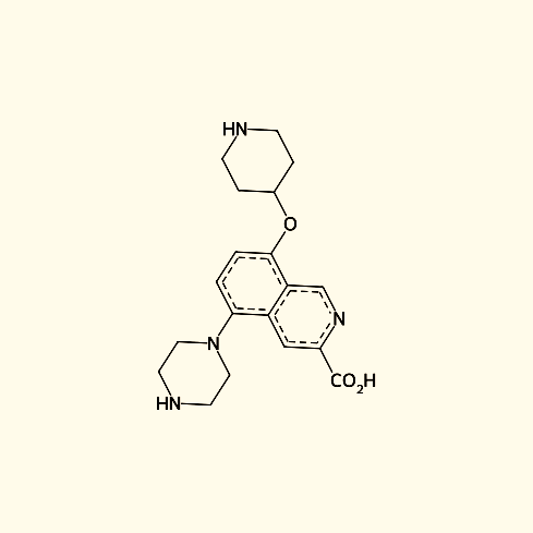 O=C(O)c1cc2c(N3CCNCC3)ccc(OC3CCNCC3)c2cn1